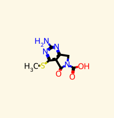 CSc1nc(N)nc2c1C(=O)N(C(=O)O)C2